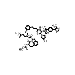 Cc1ncsc1-c1ccc([C@H](C)NC(=O)[C@@H]2C[C@@H](O)CN2C(=O)[C@@H](NC(=O)CCCc2cccc(OC[C@H](CCC(N)=O)NC(=O)[C@@H]3Cc4cccc5c4N3C(=O)[C@@H](NC(=O)OC(C)(C)C)CC5)c2)C(C)(C)C)cc1